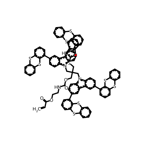 C=CC(=O)OCCNC(=O)OCC(CSc1nc2ccccc2[nH]1)(Cn1c2ccc(-c3cccc4c3Sc3ccccc3S4)cc2c2cc(-c3cccc4c3Sc3ccccc3S4)ccc21)Cn1c2ccc(-c3cccc4c3Sc3ccccc3S4)cc2c2cc(-c3cccc4c3Sc3ccccc3S4)ccc21